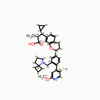 COc1cc(-c2ccc([C@@H]3CCc4ccc([C@H](C5CC5)[C@H](C)C(=O)O)cc4O3)cc2CN2CCCC23CCC3)c(F)cn1